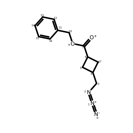 [N-]=[N+]=NCC1CC(C(=O)OCc2ccccc2)C1